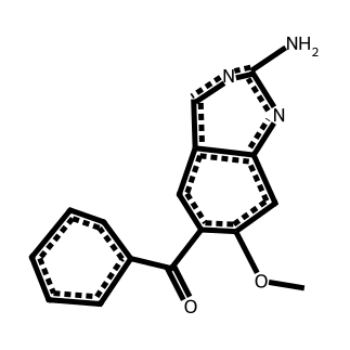 COc1cc2nc(N)ncc2cc1C(=O)c1ccccc1